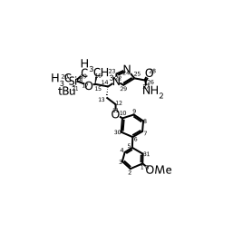 COc1cccc(-c2cccc(OCC[C@H]([C@H](C)O[Si](C)(C)C(C)(C)C)n3cnc(C(N)=O)c3)c2)c1